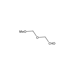 COCOC[C]=O